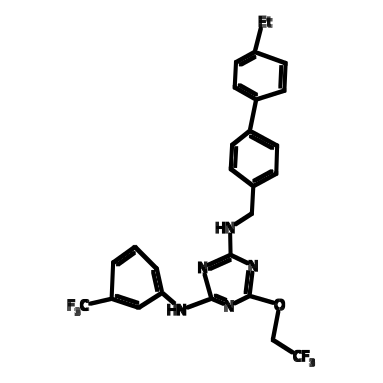 CCc1ccc(-c2ccc(CNc3nc(Nc4cccc(C(F)(F)F)c4)nc(OCC(F)(F)F)n3)cc2)cc1